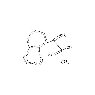 C=C(c1cccc2ccccc12)P(C)(=O)O